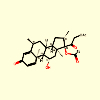 CCC(=O)O[C@]1(C(=O)COC(C)=O)[C@@H](C)C[C@H]2[C@@H]3C[C@H](C)C4=CC(=O)C=C[C@]4(C)[C@H]3[C@@H](O)C[C@@]21C